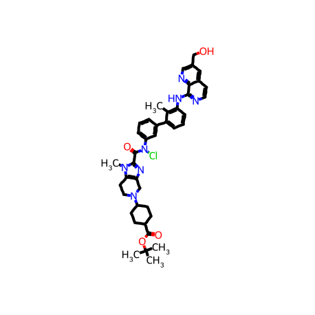 Cc1c(Nc2nccc3cc(CO)cnc23)cccc1-c1cccc(N(Cl)C(=O)c2nc3c(n2C)CCN(C2CCC(C(=O)OC(C)(C)C)CC2)C3)c1